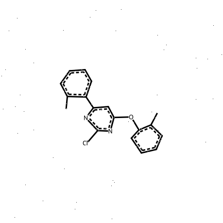 Cc1ccccc1Oc1cc(-c2ccccc2C)nc(Cl)n1